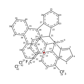 [CH2]=[Zr+2]([C]1=CC=CC1)([c]1cccc(C(F)(F)F)c1)([c]1cccc(C(F)(F)F)c1)[CH]1c2ccccc2-c2c1c1ccccc1c1ccccc21.[Cl-].[Cl-]